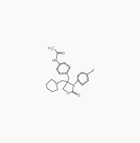 CC(=O)Nc1ccc(CC2(CN3CCCCC3)COC(=O)N2c2ccc(F)cc2)cc1